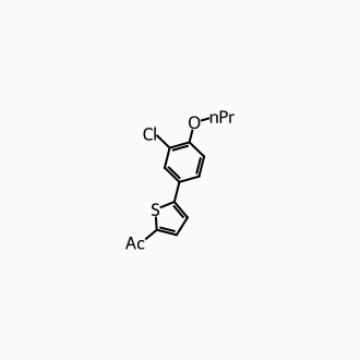 CCCOc1ccc(-c2ccc(C(C)=O)s2)cc1Cl